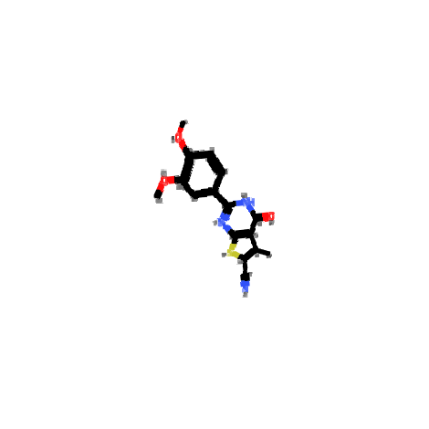 COc1ccc(-c2nc3sc(C#N)c(C)c3c(=O)[nH]2)cc1OC